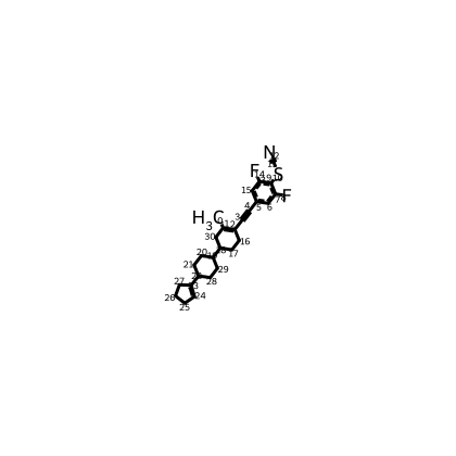 CC1=C(C#Cc2cc(F)c(SC#N)c(F)c2)CCC(C2CCC(C3=CCCC3)CC2)C1